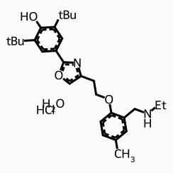 CCNCc1cc(C)ccc1OCCc1coc(-c2cc(C(C)(C)C)c(O)c(C(C)(C)C)c2)n1.Cl.O